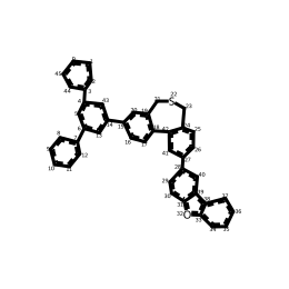 c1ccc(-c2cc(-c3ccccc3)cc(-c3ccc4c(c3)CSCc3ccc(-c5ccc6oc7ccccc7c6c5)cc3-4)c2)cc1